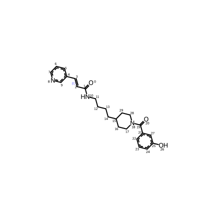 O=C(/C=C/c1cccnc1)NCCCCC1CCN(C(=O)c2cccc(O)c2)CC1